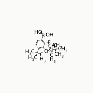 CC(C)(C)c1ccc(B(O)O)c(F)c1O[Si](C)(C)C(C)(C)C